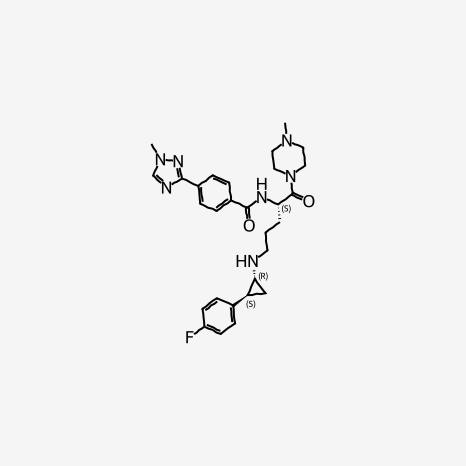 CN1CCN(C(=O)[C@H](CCCN[C@@H]2C[C@H]2c2ccc(F)cc2)NC(=O)c2ccc(-c3ncn(C)n3)cc2)CC1